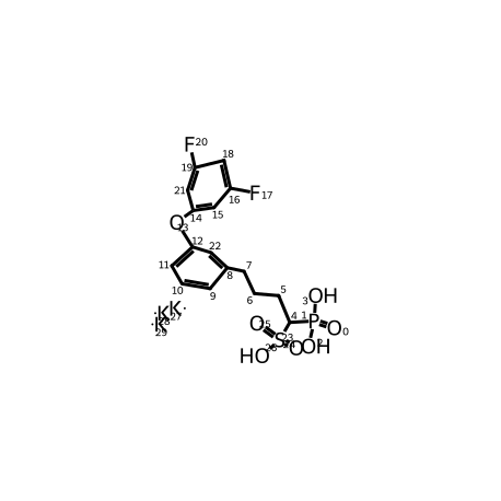 O=P(O)(O)C(CCCc1cccc(Oc2cc(F)cc(F)c2)c1)S(=O)(=O)O.[K].[K].[K]